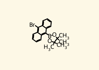 CC1(C)OB(c2c3ccccc3c(Br)c3ccccc23)OC1(C)C